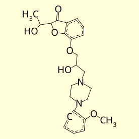 COc1ccccc1N1CCN(CC(O)COc2cccc3c2OC(C(C)O)C3=O)CC1